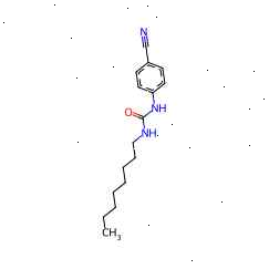 CCCCCCCCNC(=O)Nc1ccc(C#N)cc1